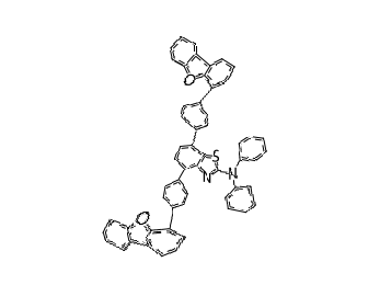 c1ccc(N(c2ccccc2)c2nc3c(-c4ccc(-c5cccc6c5oc5ccccc56)cc4)ccc(-c4ccc(-c5cccc6c5oc5ccccc56)cc4)c3s2)cc1